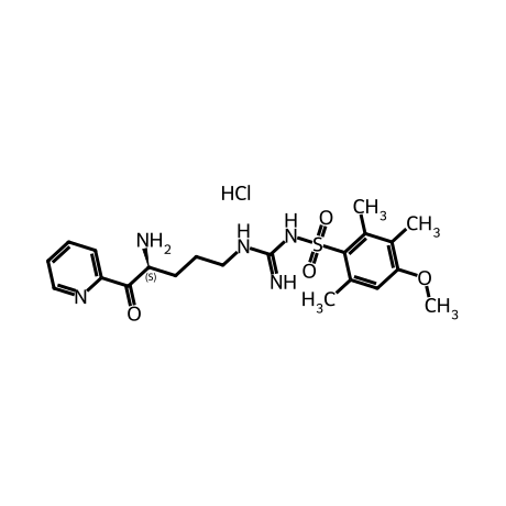 COc1cc(C)c(S(=O)(=O)NC(=N)NCCC[C@H](N)C(=O)c2ccccn2)c(C)c1C.Cl